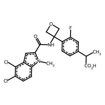 CC(C(=O)O)c1ccc(C2(NC(=O)c3cc4c(Cl)c(Cl)ccc4n3C)COC2)c(F)c1